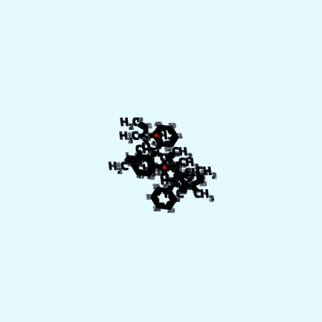 C=C[Si](C)(C)O[Si](O[Si](C)(C)C=C)(O[Si](O[Si](C)(C)C=C)(O[Si](O[Si](C)(C)C=C)(O[Si](C)(C)C=C)c1ccccc1)c1ccccc1)c1ccccc1